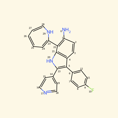 Nc1ccc2c(-c3ccc(F)cc3)c(-c3ccncc3)[nH]c2c1C1=CC=CC=CN1